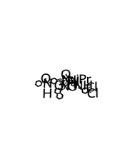 CC(C)N(C(=O)NCc1ccc(Cl)c(Cl)c1)N1CC(=O)N2[C@@H](Cc3ccc(NC(=O)c4ccccc4)cc3)C(=O)N(Cc3cccc4ccccc34)C[C@@H]21